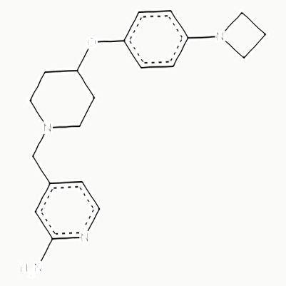 Nc1cc(CN2CCC(Oc3ccc(N4CCC4)cc3)CC2)ccn1